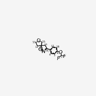 FC(F)Oc1ccc(C2=NOC3(CCOC3)C2)cc1